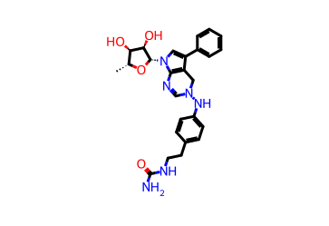 C[C@H]1O[C@@H](n2cc(-c3ccccc3)c3c2N=CN(Nc2ccc(CCNC(N)=O)cc2)C3)[C@H](O)[C@@H]1O